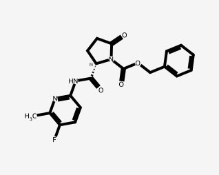 Cc1nc(NC(=O)[C@@H]2CCC(=O)N2C(=O)OCc2ccccc2)ccc1F